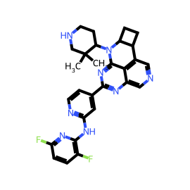 CC1(C)CNCCC1N1c2nc(-c3ccnc(Nc4nc(F)ccc4F)c3)nc3cncc(c23)C2CCC21